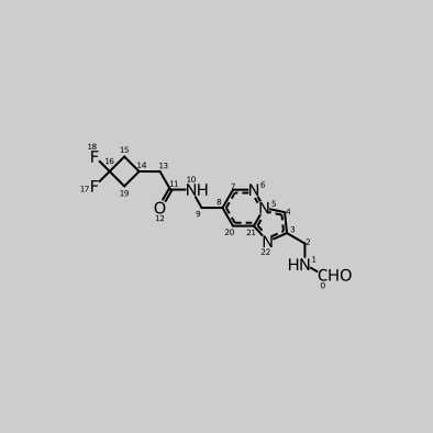 O=CNCc1cn2ncc(CNC(=O)CC3CC(F)(F)C3)cc2n1